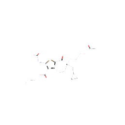 CCOC(=O)c1c(NC(C)=O)sc2c1CCC(CCCOC(C)=O)(CC1CC1)C2=O